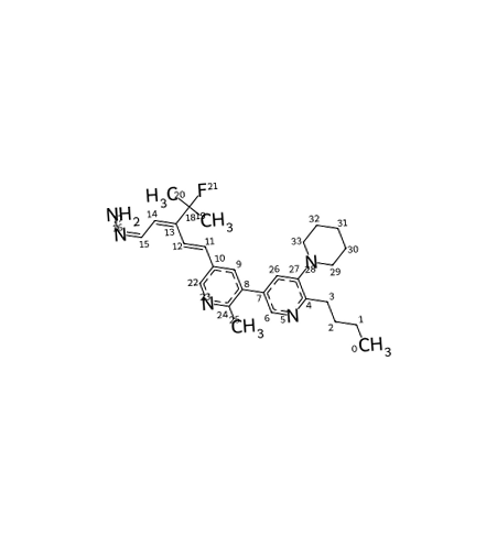 CCCCc1ncc(-c2cc(/C=C/C(=C\C=N/N)C(C)(C)F)cnc2C)cc1N1CCCCC1